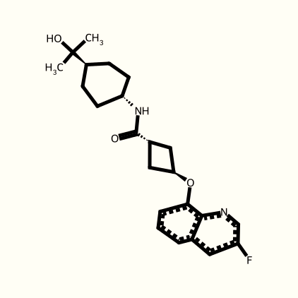 CC(C)(O)[C@H]1CC[C@H](NC(=O)[C@H]2C[C@H](Oc3cccc4cc(F)cnc34)C2)CC1